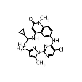 Cc1cc(C)n(-c2ncc(Cl)c(Nc3ccc4c(c3)c(NC(C)C3CC3)cc(=O)n4C)n2)n1